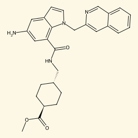 COC(=O)[C@H]1CC[C@H](CNC(=O)c2cc(N)cc3ccn(Cc4cc5ccccc5cn4)c23)CC1